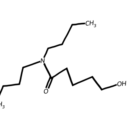 CCCCN(CCCC)C(=O)CCCCO